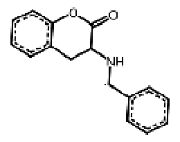 O=C1Oc2ccccc2CC1N[CH]c1ccccc1